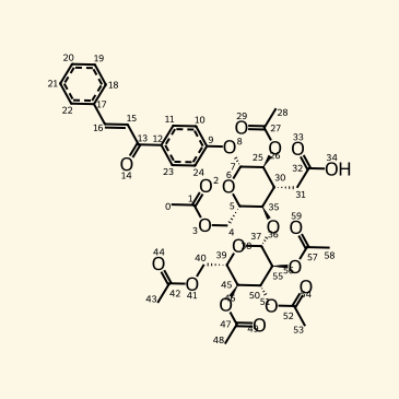 CC(=O)OC[C@@H]1O[C@H](Oc2ccc(C(=O)/C=C/c3ccccc3)cc2)[C@@H](OC(C)=O)[C@H](CC(=O)O)[C@H]1O[C@H]1O[C@@H](COC(C)=O)[C@H](OC(C)=O)[C@@H](OC(C)=O)[C@@H]1OC(C)=O